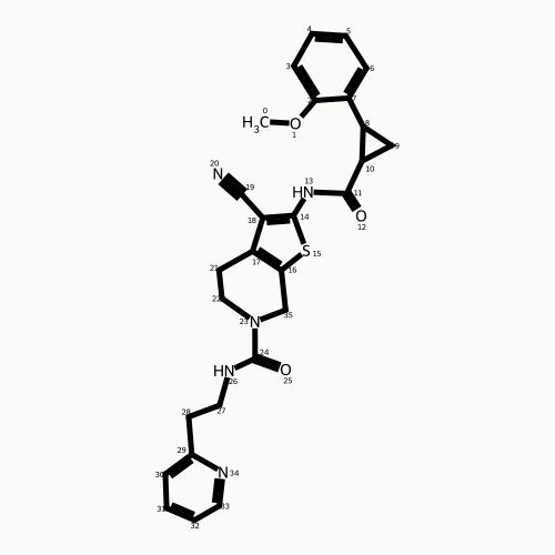 COc1ccccc1C1CC1C(=O)Nc1sc2c(c1C#N)CCN(C(=O)NCCc1ccccn1)C2